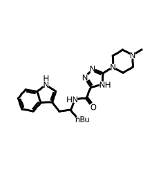 CCCCC(Cc1c[nH]c2ccccc12)NC(=O)c1nnc(N2CCN(C)CC2)[nH]1